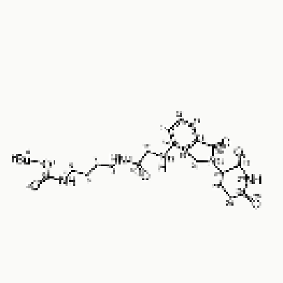 CC(C)(C)OC(=O)NCCCCNC(=O)CNc1cccc2c1CN(C1CCC(=O)NC1=O)C2=O